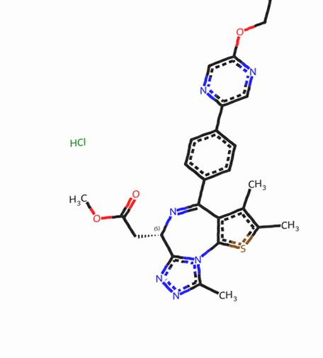 COC(=O)C[C@@H]1N=C(c2ccc(-c3cnc(OCC(=O)O)cn3)cc2)c2c(sc(C)c2C)-n2c(C)nnc21.Cl